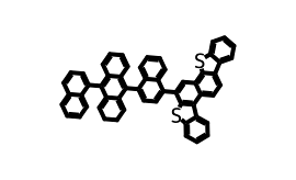 C1=c2c(-c3cccc4ccccc34)c3ccccc3c(-c3ccc(-c4cc5c(ccc6c7ccccc7sc65)c5c4sc4ccccc45)c4ccccc34)c2=CCC1